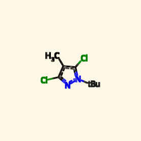 Cc1c(Cl)nn(C(C)(C)C)c1Cl